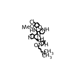 COc1c(Cl)cccc1Nc1c(-c2ccncc2C#C[C@H]2[C@H]3C[C@H]3CN2C(=O)/C=C/CN(C)C)[nH]c2c1C(=O)NCC2